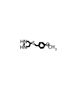 COc1ccc(CSC2CNCNC2)cc1